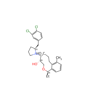 CC[C@@H](OC[C@H](O)CN1CCC[C@H]1Cc1ccc(Cl)c(Cl)c1)c1cccc(C)c1CCC(=O)O